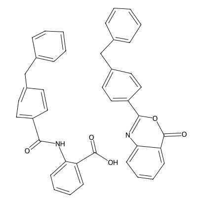 O=C(Nc1ccccc1C(=O)O)c1ccc(Cc2ccccc2)cc1.O=c1oc(-c2ccc(Cc3ccccc3)cc2)nc2ccccc12